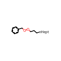 CCCCCCCCCCOOCc1ccccc1